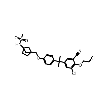 CC(C)(c1ccc(OCC23CCC(NS(C)(=O)=O)(C2)C3)cc1)c1cc(Cl)c(OCCCl)c(C#N)c1